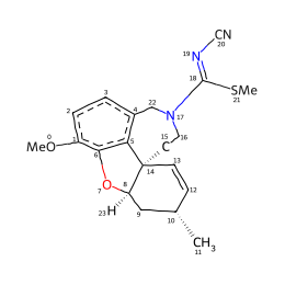 COc1ccc2c3c1O[C@@H]1C[C@@H](C)C=C[C@]31CCN(/C(=N/C#N)SC)C2